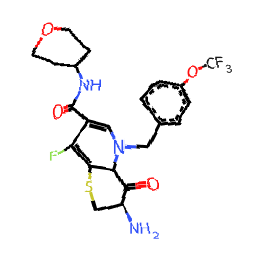 N[C@H]1CSC2=C(F)C(C(=O)NC3CCOCC3)=CN(Cc3ccc(OC(F)(F)F)cc3)C2C1=O